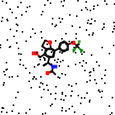 CC(=O)N[C@@H](C)c1cc(-c2ccc(OC(F)(F)F)cc2)c2c(c1CO)CCO2